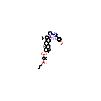 CCCCOC(=O)[C@@H]1C[C@H](C(=O)O[C@H]2CC[C@]3(C)[C@H]4CC[C@@H]5[C@H]6[C@H](C(C)C)CC[C@]6(C(=O)N6CCCC6c6ncc(-c7ccc(OC)cc7)[nH]6)CC[C@@]5(C)[C@]4(C)CC[C@H]3C2(C)C)C1(C)C